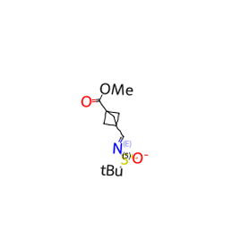 COC(=O)C12CC(/C=N/[S@+]([O-])C(C)(C)C)(C1)C2